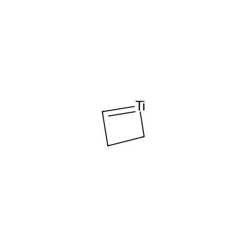 [CH]1=[Ti][CH2]C1